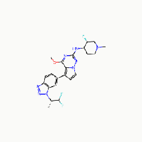 COc1nc(N[C@@H]2CCN(C)C[C@@H]2F)nn2ccc(-c3ccc4nnn([C@@H](C)C(F)F)c4c3)c12